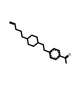 C=CCCCC1CCC(CCc2ccc(C(C)=O)cc2)CC1